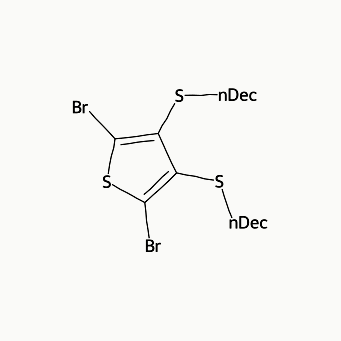 CCCCCCCCCCSc1c(Br)sc(Br)c1SCCCCCCCCCC